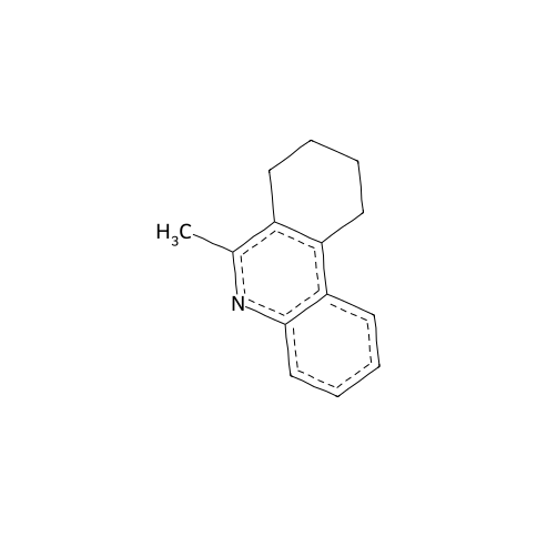 Cc1nc2ccccc2c2c1CCCC2